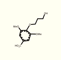 COc1cc(C(=O)O)cc(OC)c1OCCCO